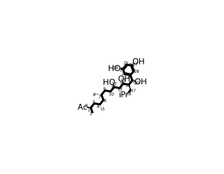 CC(=O)[C@H](C)C[C@@H](C)C[C@H](C)CC[C@@H](O)C[C@@H](O)[C@H](CC(C)C)[C@@H](O)c1cc(O)cc(O)c1